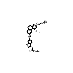 CCOCCOc1cc(C)c2c(c1)CCc1ccc(COc3ccc4c(c3)OC[C@H]4CC(=O)OC)cc1-2